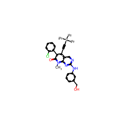 CC(C)[Si](C#Cc1c(-c2ccccc2Cl)c(=O)n(C)c2nc(Nc3cccc(CO)c3)ncc12)(C(C)C)C(C)C